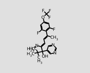 C=N/C(=C\C=C(/C)c1c(F)cc(OC(F)(F)F)cc1F)C(O)(c1cncnc1)C(C)(C)C